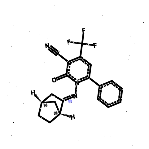 N#Cc1c(C(F)(F)F)cc(-c2ccccc2)n(/N=C2\C[C@@H]3CC[C@H]2C3)c1=O